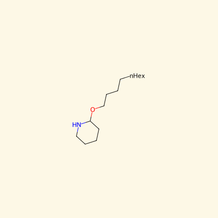 CCCCCCCCCCOC1CCCCN1